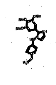 COc1cc(C2NC=CN2Nc2ccc(CN)cc2)cc(OC)c1OC